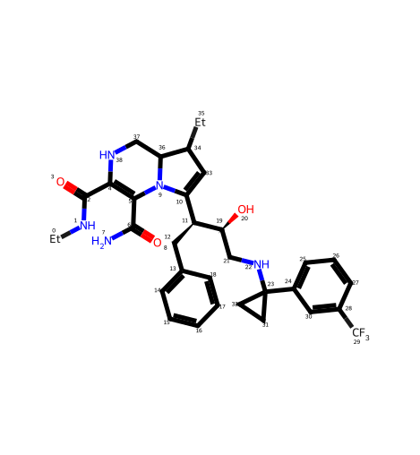 CCNC(=O)C1=C(C(N)=O)N2C([C@H](Cc3ccccc3)[C@@H](O)CNC3(c4cccc(C(F)(F)F)c4)CC3)=CC(CC)C2CN1